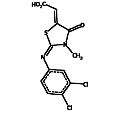 CN1C(=O)/C(=C/C(=O)O)S/C1=N/c1ccc(Cl)c(Cl)c1